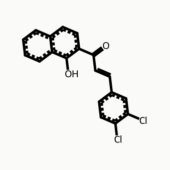 O=C(/C=C/c1ccc(Cl)c(Cl)c1)c1ccc2ccccc2c1O